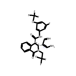 N=C/C(=C\N)[C@H]1[C@H](C(=O)Nc2cc(F)cc(OC(F)(F)F)c2)c2ccccc2C(=O)N1CC(F)(F)F